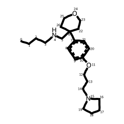 CCCCNCC1(c2ccc(OCCCN3CCCC3)cc2)CCOCC1